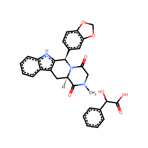 CN1CC(=O)N2[C@H](c3ccc4c(c3)OCO4)c3[nH]c4ccccc4c3C[C@@H]2C1=O.O=C(O)C(O)c1ccccc1